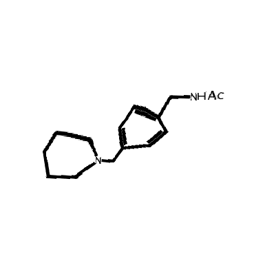 CC(=O)NCc1ccc(CN2CCCCC2)cc1